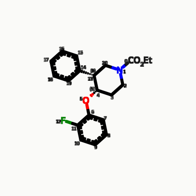 CCOC(=O)N1CC[C@H](Oc2ccccc2F)[C@H](c2ccccc2)C1